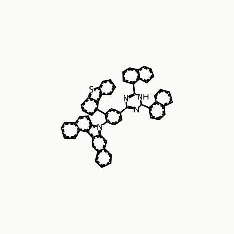 c1ccc2cc3c(cc2c1)c1c2ccccc2ccc1n3-c1ccc(C2=NC(c3cccc4ccccc34)NC(c3cccc4ccccc34)=N2)cc1-c1cccc2sc3ccccc3c12